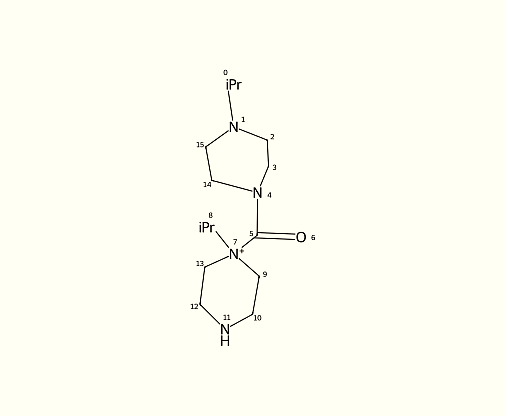 CC(C)N1CCN(C(=O)[N+]2(C(C)C)CCNCC2)CC1